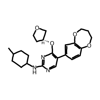 CC1CCC(Nc2ncc(-c3ccc4c(c3)OCCCO4)c(O[C@@H]3CCOC3)n2)CC1